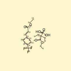 CCOC(=O)C(CC)(CC)P(=O)(O)O.CCOC(=O)C=Cc1ccc(C(F)(F)F)cc1